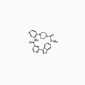 CC(C)(C)OC(=O)N1CCN(c2ccncc2NC(=O)c2ccnc(-c3csc4ccccc34)n2)CC1